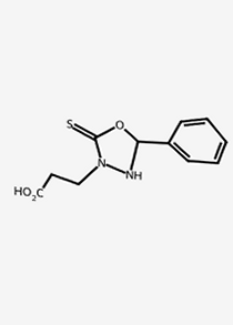 O=C(O)CCN1NC(c2ccccc2)OC1=S